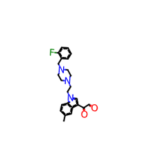 Cc1ccc2c(c1)c(C(=O)C=O)cn2CCN1CCN(Cc2ccccc2F)CC1